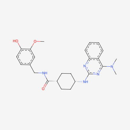 COc1cc(CNC(=O)[C@H]2CC[C@@H](Nc3nc(N(C)C)c4ccccc4n3)CC2)ccc1O